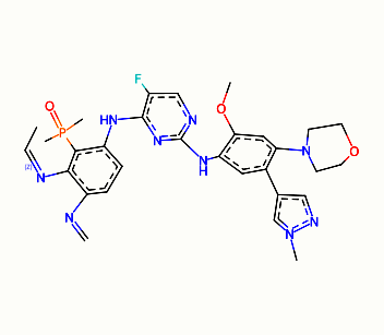 C=Nc1ccc(Nc2nc(Nc3cc(-c4cnn(C)c4)c(N4CCOCC4)cc3OC)ncc2F)c(P(C)(C)=O)c1/N=C\C